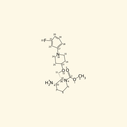 COC(=O)N1CCC[C@H](N)[C@@H]1COC1CCN(c2cccc(F)c2)CC1